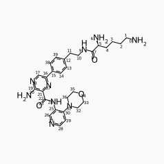 NCCCC[C@H](N)C(=O)NCCc1ccc(-c2cnc(N)c(C(=O)Nc3cnccc3N3CCOCC3)n2)cc1